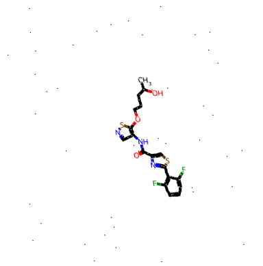 CC(O)CCCOc1sncc1NC(=O)c1csc(-c2c(F)cccc2F)n1